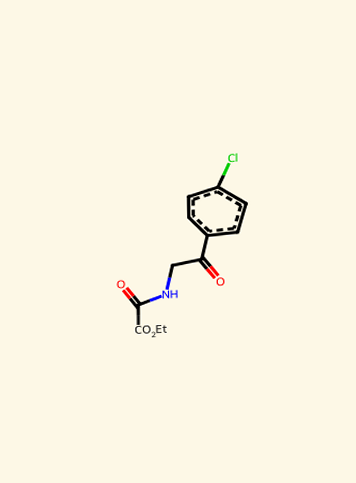 CCOC(=O)C(=O)NCC(=O)c1ccc(Cl)cc1